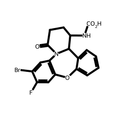 O=C(O)NC1CCC(=O)N2c3cc(Br)c(F)cc3Oc3ccccc3C12